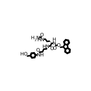 NC(=O)NCCC[C@H](NC(=O)OCC1c2ccccc2-c2ccccc21)C(=O)NCCCC(=O)Nc1ccc(CO)cc1